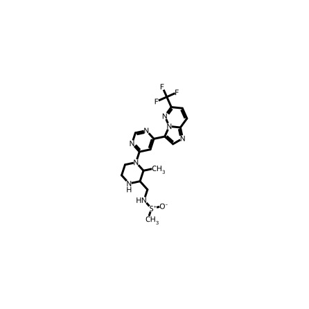 CC1C(CN[S+](C)[O-])NCCN1c1cc(-c2cnc3ccc(C(F)(F)F)nn23)ncn1